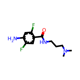 CN(C)CCCNC(=O)c1cc(F)c(N)cc1F